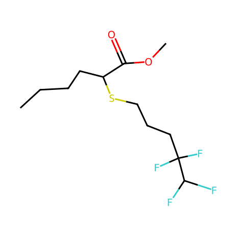 CCCCC(SCCCC(F)(F)C(F)F)C(=O)OC